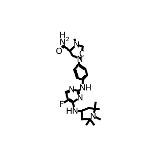 CN1CCN(c2ccc(Nc3ncc(F)c(NC4CC(C)(C)N(C)C(C)(C)C4)n3)cc2)CC1C(N)=O